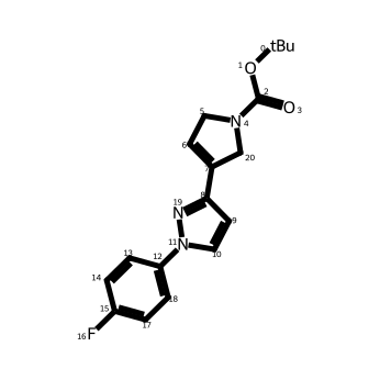 CC(C)(C)OC(=O)N1CC=C(c2ccn(-c3ccc(F)cc3)n2)C1